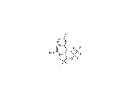 O=C(O)N1CC(F)(F)C(OS(=O)(=O)C(F)(F)F)C1Cc1cccc(Cl)c1